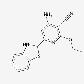 CCOc1nc(C2Nc3ccccc3S2)cc(N)c1C#N